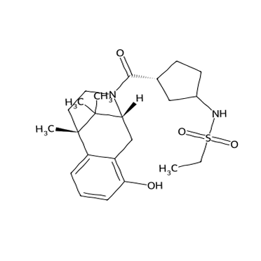 CCS(=O)(=O)NC1CC[C@@H](C(=O)N2CC[C@@]3(C)c4cccc(O)c4C[C@@H]2C3(C)C)C1